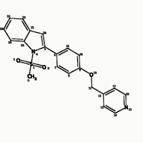 CS(=O)(=O)n1c(-c2ccc(OCc3ccncc3)cc2)cc2ccccc21